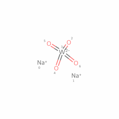 [Na+].[Na+].[O]=[W-2](=[O])(=[O])=[O]